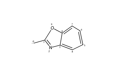 [CH2]c1nc2ccccc2o1